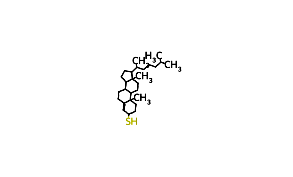 CC(C)CCCC(C)C1CCC2C3CCC4=CC(S)CCC4(C)C3CCC12C